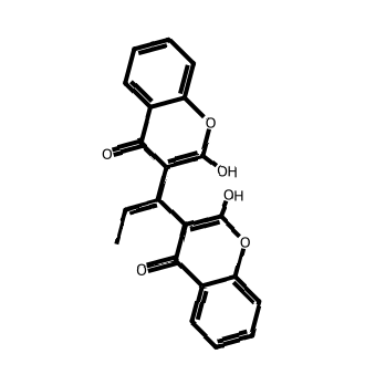 CC=C(c1c(O)oc2ccccc2c1=O)c1c(O)oc2ccccc2c1=O